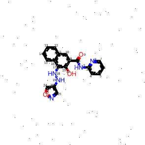 O=C(Nc1ccccn1)c1cc2ccccc2c(NNc2cnoc2)c1O